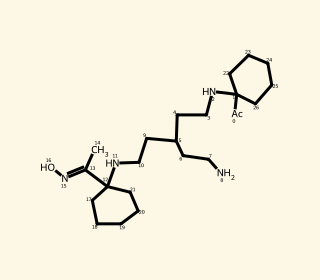 CC(=O)C1(NCCC(CCN)CCNC2(C(C)=NO)CCCCC2)CCCCC1